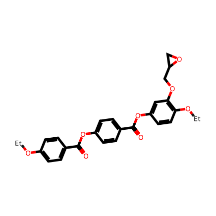 CCOc1ccc(C(=O)Oc2ccc(C(=O)Oc3ccc(OCC)c(OCC4CO4)c3)cc2)cc1